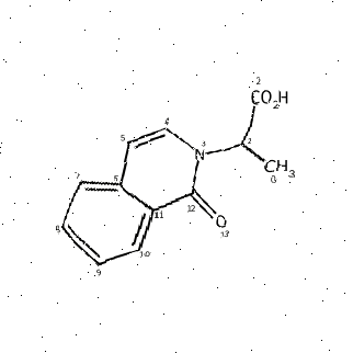 CC(C(=O)O)n1ccc2ccccc2c1=O